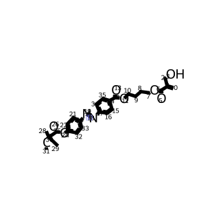 C=C(CO)C(=O)OCCCCOC(=O)c1ccc(/N=N/c2ccc(OC(=O)C(C)(C)CC)cc2)cc1